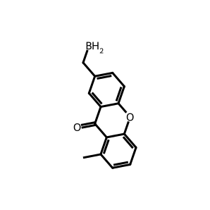 BCc1ccc2oc3cccc(C)c3c(=O)c2c1